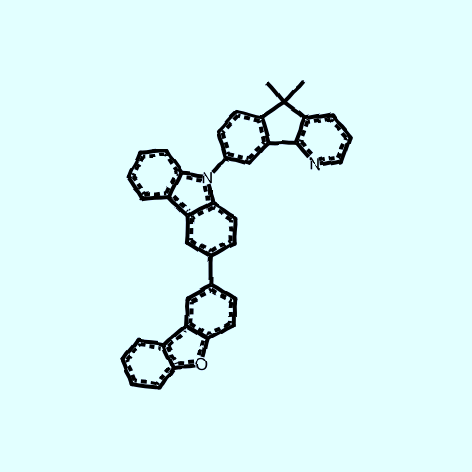 CC1(C)c2ccc(-n3c4ccccc4c4cc(-c5ccc6oc7ccccc7c6c5)ccc43)cc2-c2ncccc21